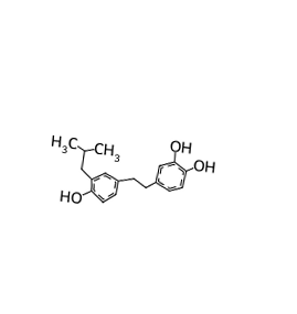 CC(C)Cc1cc(CCc2ccc(O)c(O)c2)ccc1O